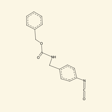 O=C=Nc1ccc(CNC(=O)OCc2ccccc2)cc1